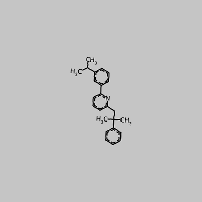 CC(C)c1cccc(-c2cccc(CC(C)(C)c3ccccc3)n2)c1